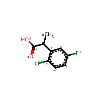 CC(C(=O)O)c1cc(F)ccc1Cl